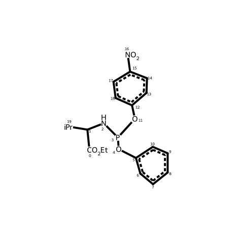 CCOC(=O)C(NP(Oc1ccccc1)Oc1ccc([N+](=O)[O-])cc1)C(C)C